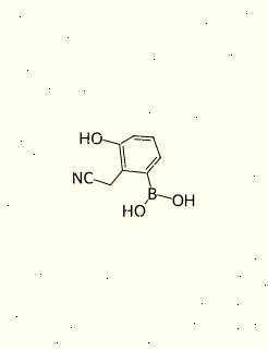 N#CCc1c(O)cccc1B(O)O